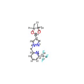 CC1(C)OB(c2cnn(Cc3cccc(C(F)(F)F)n3)c2)OC1(C)C